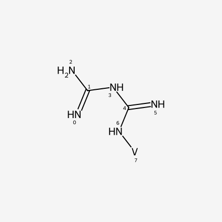 N=C(N)NC(=N)[NH][V]